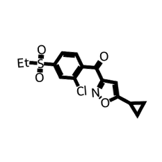 CCS(=O)(=O)c1ccc(C(=O)c2cc(C3CC3)on2)c(Cl)c1